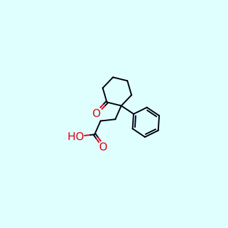 O=C(O)CCC1(c2ccccc2)CCCCC1=O